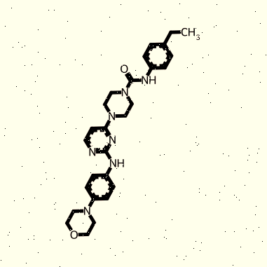 CCc1ccc(NC(=O)N2CCN(c3ccnc(Nc4ccc(N5CCOCC5)cc4)n3)CC2)cc1